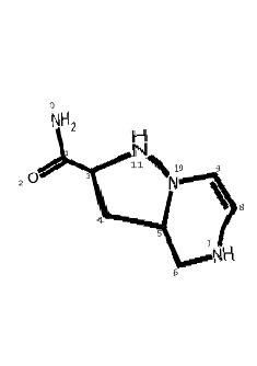 NC(=O)C1CC2CNC=CN2N1